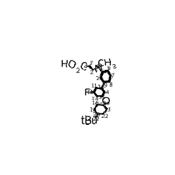 CN(CCC(=O)O)c1cccc(-c2cc(F)cc(OC3CCC(C(C)(C)C)CC3)c2)c1